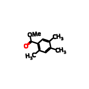 COC(=O)c1cc(C)c(C)cc1C